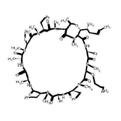 C/C=C/C[C@@H](C)[C@H]1OC(C)[C@H]2C(=O)N(C)C1C(=O)N[C@@H](CC)C(=O)N(C)C(OCCN)C(=O)N(C)[C@@H](CC(C)C)C(=O)N[C@@H](C(C)C)C(=O)N(C)[C@@H](CC(C)C)C(=O)N[C@@H](C)C(=O)N[C@H](C)C(=O)N(C)[C@@H](CC(C)C)C(=O)N(C)[C@@H](CC(C)C)C(=O)N2C